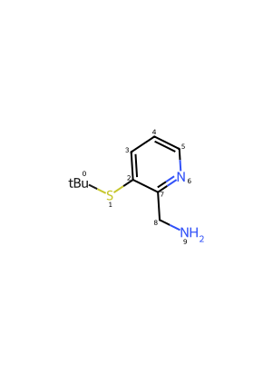 CC(C)(C)Sc1cccnc1CN